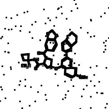 COc1ccc2c(O[C@@H]3C[C@@H](C(=O)NC4(C(=O)O)CCC4)N(C(=O)c4ccc5c(c4)OCO5)C3)cc(-c3ccc4c(n3)CCCC4)nc2c1